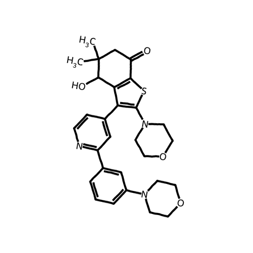 CC1(C)CC(=O)c2sc(N3CCOCC3)c(-c3ccnc(-c4cccc(N5CCOCC5)c4)c3)c2C1O